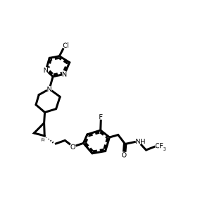 O=C(Cc1ccc(OCC[C@@H]2CC2C2CCN(c3ncc(Cl)cn3)CC2)cc1F)NCC(F)(F)F